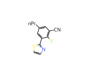 CCCc1cc(C#N)c(F)c(-c2nccs2)c1